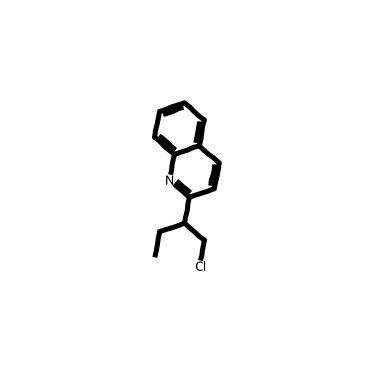 CCC(CCl)c1ccc2ccccc2n1